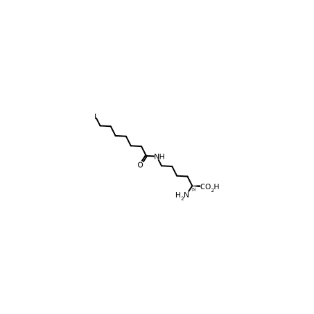 N[C@@H](CCCCNC(=O)CCCCCCI)C(=O)O